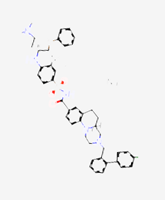 CN(C)CC[C@H](CSc1ccccc1)Nc1ccc(S(=O)(=O)NC(=O)c2ccc3c(c2)CC[C@@H]2CN(Cc4ccccc4-c4ccc(Cl)cc4)CCN32)cc1[N+](=O)[O-].[Na+]